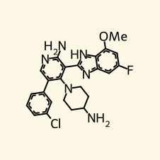 COc1cc(F)cc2nc(-c3c(N)ncc(-c4cccc(Cl)c4)c3N3CCC(N)CC3)[nH]c12